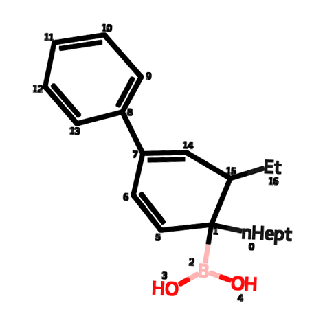 CCCCCCCC1(B(O)O)C=CC(c2ccccc2)=CC1CC